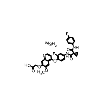 COc1cc2c(Oc3ccc(NC(=O)C4(C(=O)Nc5ccc(F)cc5)CC4)cc3F)ccnc2cc1OCC(=O)O.[MgH2]